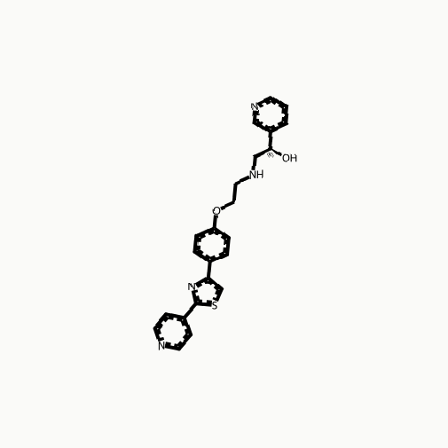 O[C@@H](CNCCOc1ccc(-c2csc(-c3ccncc3)n2)cc1)c1cccnc1